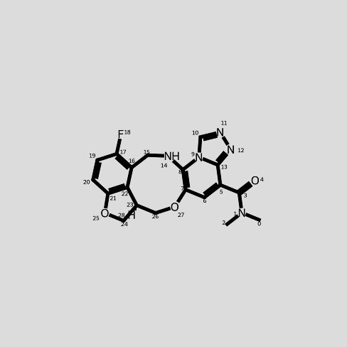 CN(C)C(=O)c1cc2c(n3cnnc13)NCc1c(F)ccc3c1[C@@H](CO3)CO2